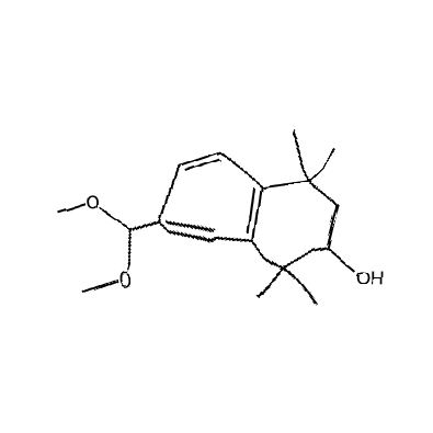 COC(OC)c1ccc2c(c1)C(C)(C)C(O)CC2(C)C